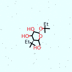 CCC(C)(C)O[C@@H]1OC(CO)[C@@H](C(C)(C)CC)C(O)C1O